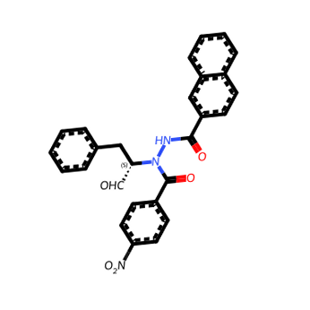 O=C[C@H](Cc1ccccc1)N(NC(=O)c1ccc2ccccc2c1)C(=O)c1ccc([N+](=O)[O-])cc1